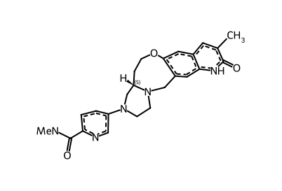 CNC(=O)c1ccc(N2CCN3Cc4cc5[nH]c(=O)c(C)cc5cc4OCC[C@H]3C2)cn1